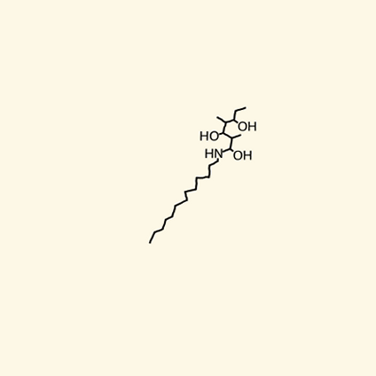 CCCCCCCCCCCCCNC(O)C(C)C(O)C(C)C(O)CC